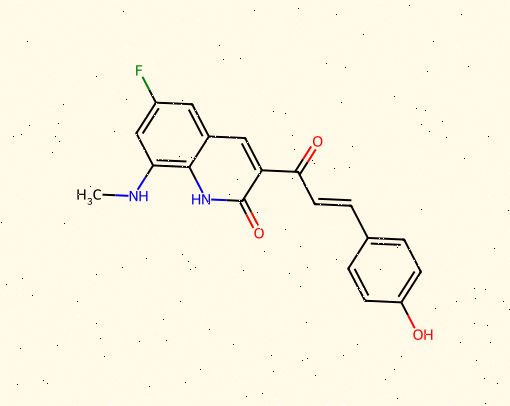 CNc1cc(F)cc2cc(C(=O)/C=C/c3ccc(O)cc3)c(=O)[nH]c12